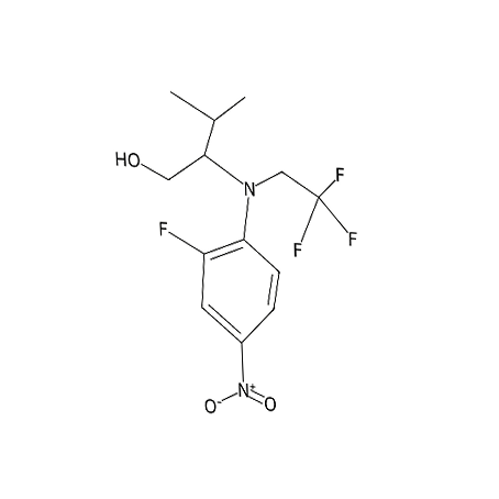 CC(C)C(CO)N(CC(F)(F)F)c1ccc([N+](=O)[O-])cc1F